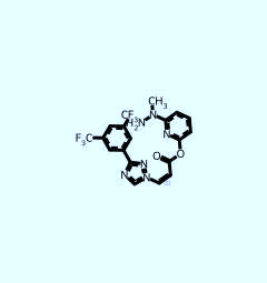 CN(N)c1cccc(OC(=O)/C=C\n2cnc(-c3cc(C(F)(F)F)cc(C(F)(F)F)c3)n2)n1